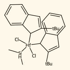 C[SiH](C)[Hf]([Cl])([Cl])([CH]1C(C(C)(C)C)=Cc2ccccc21)[CH]1C(C(C)(C)C)=Cc2ccccc21